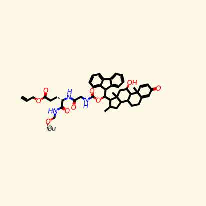 C=CCOC(=O)CC[C@H](NC(=O)CNC(=O)OC(C1c2ccccc2-c2ccccc21)C1C(C)CC2C3CCC4=CC(=O)C=CC4(C)C3C(O)CC21C)C(=O)NCO[C@H](C)CC